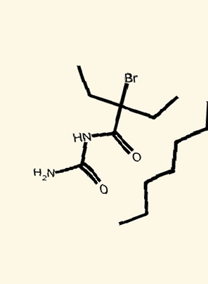 CCC(Br)(CC)C(=O)NC(N)=O.CCCCCCC